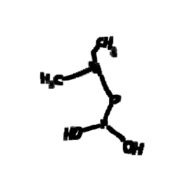 CN(C)OP(O)O